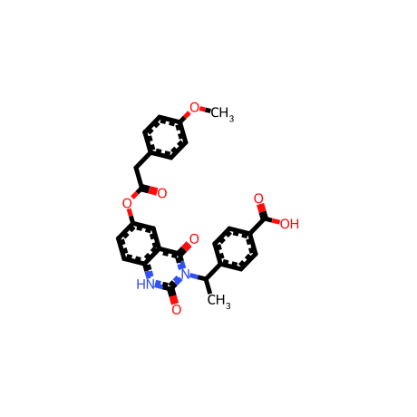 COc1ccc(CC(=O)Oc2ccc3[nH]c(=O)n(C(C)c4ccc(C(=O)O)cc4)c(=O)c3c2)cc1